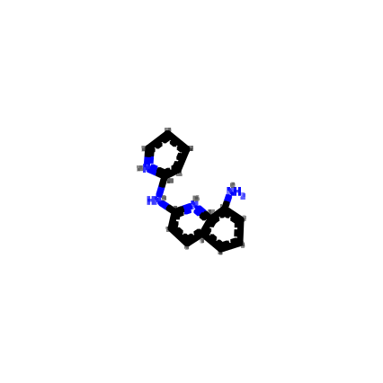 Nc1cccc2ccc(Nc3ccccn3)nc12